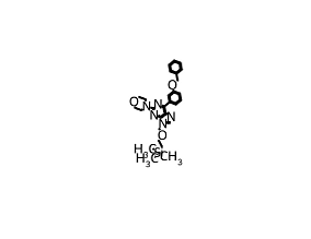 C[Si](C)(C)CCOCn1cnc2c(-c3cccc(OCc4ccccc4)c3)nc(N3CCOCC3)nc21